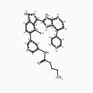 CCCCC(=O)Nc1cncc(-c2ccc3[nH]nc(-c4nc5c(-c6ccncc6)ccnc5[nH]4)c3c2F)c1